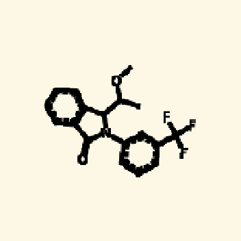 COC(C)C1c2ccccc2C(=O)N1c1cccc(C(F)(F)F)c1